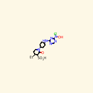 CCc1ccn(-c2ccc(Nc3ncnc(N(O)Cl)n3)cc2)c(=O)c1S(=O)(=O)O